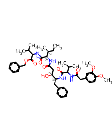 CC[C@H](C)[C@H](NC(=O)C[C@H](O)[C@H](Cc1ccccc1)NC(=O)C(NC(=O)Cc1ccc(OC)c(OC)c1)C(C)C)C(=O)NC(C(=O)OCc1ccccc1)C(C)C